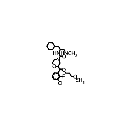 CNCC(CC1CCCCC1)NC(=O)N1CCOC([C@@H](OCCCOC)c2cccc(Cl)c2F)C1